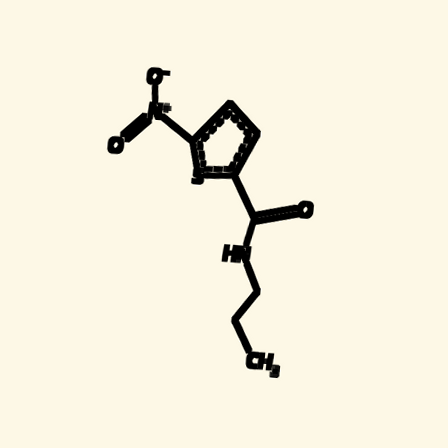 CCCNC(=O)c1ccc([N+](=O)[O-])s1